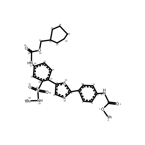 CC(C)OC(=O)Nc1ccc(-c2ncc(-c3ccc(NC(=O)OCC4CCCCC4)cc3S(=O)(=O)NC(C)(C)C)s2)cc1